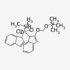 C[SiH](C)[Zr]([Cl])([Cl])([CH]1C=Cc2ccccc21)[CH]1C(OCO[Si](C)(C)C)=Cc2ccccc21